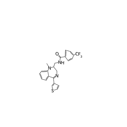 CN1c2ccccc2C(c2ccsc2)=NCC1CNC(=O)c1ccc(C(F)(F)F)cc1